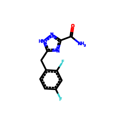 NC(=O)c1n[nH]c(Cc2ccc(F)cc2F)n1